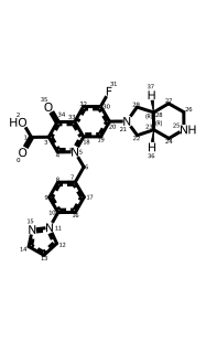 O=C(O)c1cn(Cc2ccc(-n3cccn3)cc2)c2cc(N3C[C@H]4CNCC[C@H]4C3)c(F)cc2c1=O